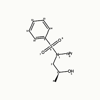 CCCN(C[C@H](C)O)S(=O)(=O)c1ccccc1